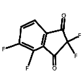 O=C1c2ccc(F)c(F)c2C(=O)C1(F)F